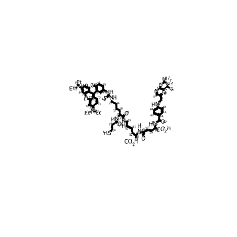 CCN(CC)c1ccc2c(-c3cc(NC(=S)NCCCCC(NC(=O)CCS)C(=O)NCCCCC(NC(=O)CCC(NC(=O)c4ccc(NCc5cnc6nc(N)[nH]c(=O)c6n5)cc4)C(=O)O)C(=O)O)ccc3C(=O)O)c3ccc(=[N+](CC)CC)cc-3oc2c1